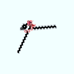 CCCCCCCCCCCCCCCC(=O)OCC(CO)OC(=O)CCCCCCCCCCCCCCC.O=P([O-])([O-])OCc1ccccc1.[Na+].[Na+]